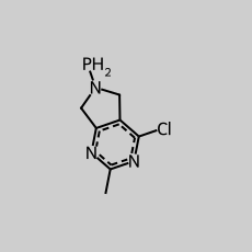 Cc1nc(Cl)c2c(n1)CN(P)C2